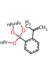 C=C(C)c1ccccc1[Si](OCCC)(OCCC)OCCC